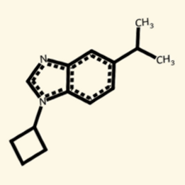 CC(C)c1ccc2c(c1)ncn2C1CCC1